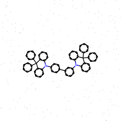 c1ccc(C2(c3ccccc3)c3ccccc3N(c3ccc(-c4cccc(N5c6ccccc6C(c6ccccc6)(c6ccccc6)c6ccccc65)c4)cc3)c3ccccc32)cc1